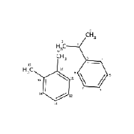 CC(C)c1ccccc1.Cc1ccccc1C